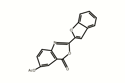 CC(=O)Oc1ccc2nc(-c3cc4ccccc4o3)oc(=O)c2c1